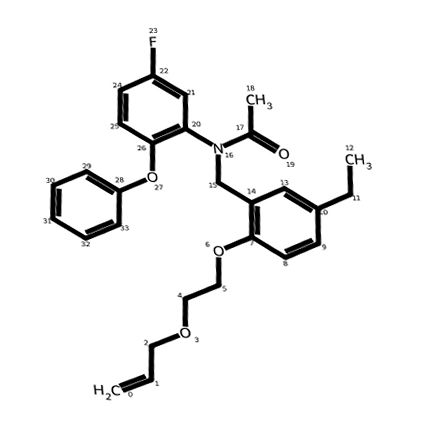 C=CCOCCOc1ccc(CC)cc1CN(C(C)=O)c1cc(F)ccc1Oc1ccccc1